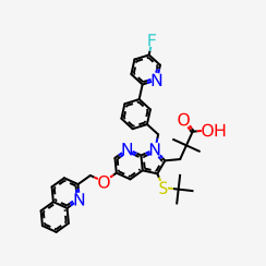 CC(C)(C)Sc1c(CC(C)(C)C(=O)O)n(Cc2cccc(-c3ccc(F)cn3)c2)c2ncc(OCc3ccc4ccccc4n3)cc12